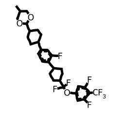 CC1COC(C2CCC(c3ccc(C4CCC(C(F)(F)Oc5cc(F)c(C(F)(F)F)c(F)c5)CC4)c(F)c3)CC2)OC1